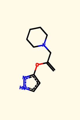 C=C(CN1CCCCC1)Oc1cc[nH]n1